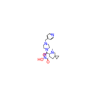 CN1CC2(CC2)C[C@H](C(=O)NO)[C@H]1C(=O)N1CCN(Cc2ccncc2)CC1